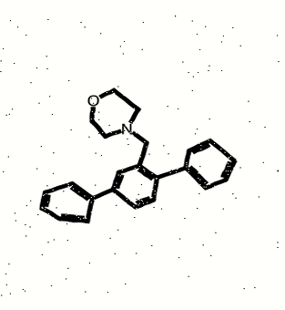 c1ccc(-c2ccc(-c3ccccc3)c(CN3CCOCC3)c2)cc1